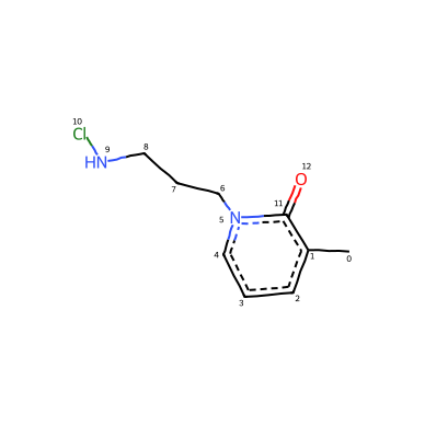 Cc1cccn(CCCNCl)c1=O